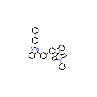 c1ccc(-c2ccc(-c3nc(-c4cccc(-c5ccc6c(c5)C5(c7ccccc7-6)c6ccccc6N(c6ccccc6)c6ccccc65)c4)c4ccccc4n3)cc2)cc1